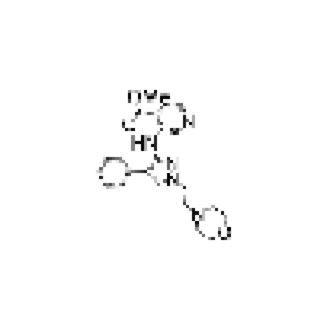 COC(=O)c1ccncc1Nc1nn(CCN2CCOCC2)cc1-c1ccccc1